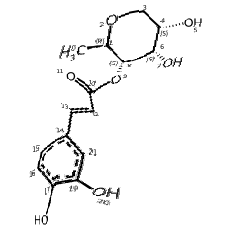 C[C@H]1OC[C@H](O)[C@H](O)[C@@H]1OC(=O)C=Cc1ccc(O)c(O)c1